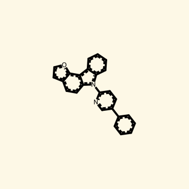 c1ccc(-c2ccc(-n3c4ccccc4c4c5occc5ccc43)nc2)cc1